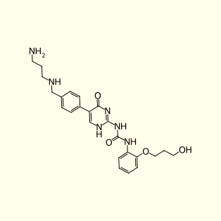 NCCCNCc1ccc(-c2c[nH]c(NC(=O)Nc3ccccc3OCCCO)nc2=O)cc1